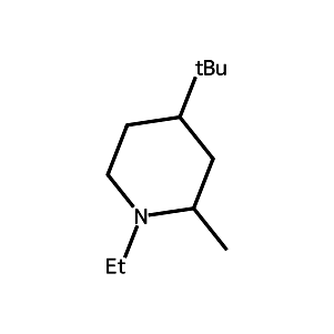 CCN1CCC(C(C)(C)C)CC1C